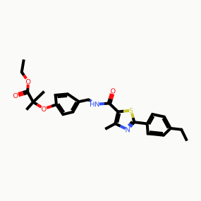 CCOC(=O)C(C)(C)Oc1ccc(CNC(=O)c2sc(-c3ccc(CC)cc3)nc2C)cc1